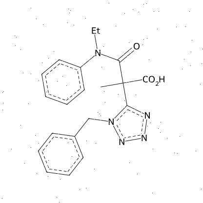 CCN(C(=O)C(C)(C(=O)O)c1nnnn1Cc1ccccc1)c1ccccc1